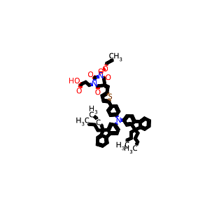 CCCCC1(CCCC)c2ccccc2-c2ccc(N(c3ccc(-c4ccc(/C=C5\C(=O)N(CCC(=O)O)C(=O)N(OOCCC)C5=O)s4)cc3)c3ccc4c(c3)C(CCCC)(CCCC)c3ccccc3-4)cc21